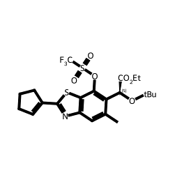 CCOC(=O)[C@@H](OC(C)(C)C)c1c(C)cc2nc(C3=CCCC3)sc2c1OS(=O)(=O)C(F)(F)F